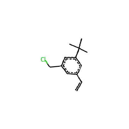 C=Cc1cc(CCl)cc(C(C)(C)C)c1